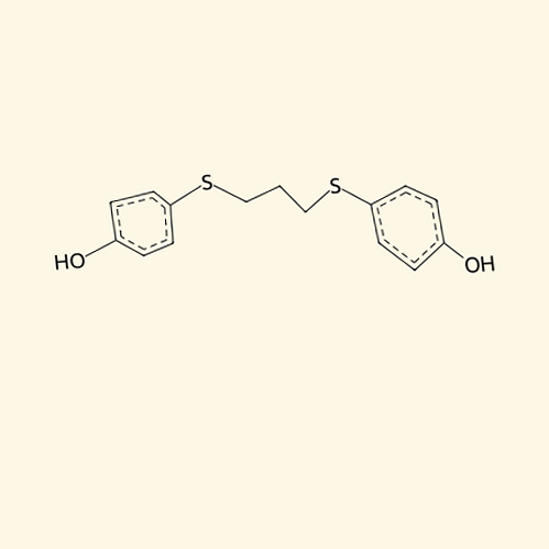 Oc1ccc(SCCCSc2ccc(O)cc2)cc1